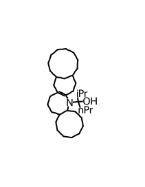 CCCC(O)(C(C)C)N1/C2=C(\CCCC3CCCCCCCCC31)CC1CCCCCCCCC(CC2)C1